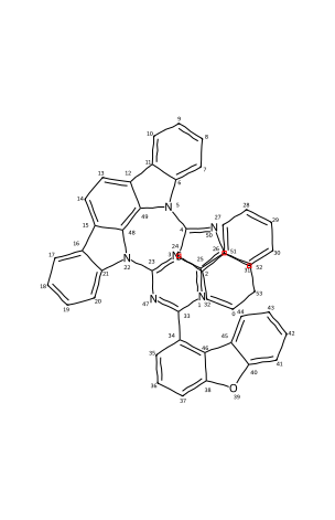 C1=Cc2sc(-n3c4ccccc4c4ccc5c6ccccc6n(-c6nc(-c7ccccc7)nc(-c7cccc8oc9ccccc9c78)n6)c5c43)nc2CC1